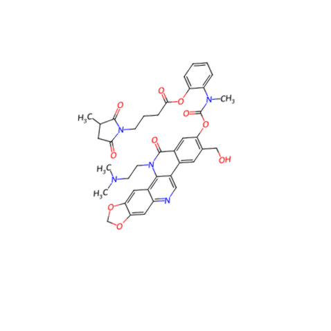 CC1CC(=O)N(CCCC(=O)Oc2ccccc2N(C)C(=O)Oc2cc3c(=O)n(CCN(C)C)c4c5cc6c(cc5ncc4c3cc2CO)OCO6)C1=O